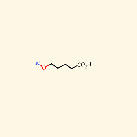 [N]OCCCCC(=O)O